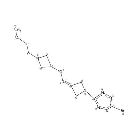 COCCN1CC(ON=C2CN(c3ncc(Br)cn3)C2)C1